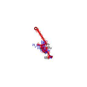 CC[C@H](NC(=O)[C@H](C)NC(=O)[C@H](CC(C)C)NC(=O)[C@H](CC(=O)OC(C)(C)C)NC(=O)CNC(=O)CCCCN(C(=O)OC(C)(C)C)c1cc(C)ccn1)C(=O)N[C@@H](CC(C)C)C(=O)N[C@@H](CCCNC(N)=O)C(=O)NC(C)(C)C(=O)N[C@@H](CC(C)C)C(=O)NCCOCCOCCOCCOCCOCCC(=O)OC1CCCCCCCC1